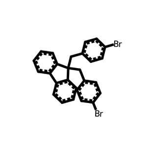 Brc1ccc(CC2(Cc3ccc(Br)cc3)c3ccccc3-c3ccccc32)cc1